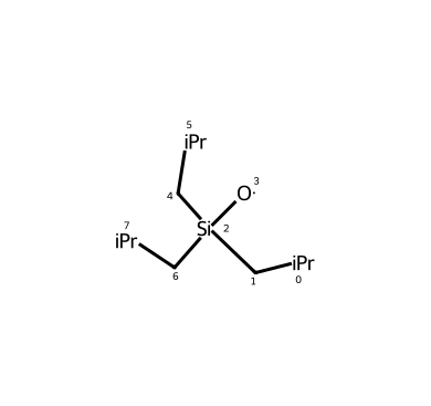 CC(C)C[Si]([O])(CC(C)C)CC(C)C